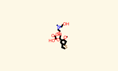 COc1cc2sccc2cc1CCOCCN(C)CCO.O=C(O)C(=O)O